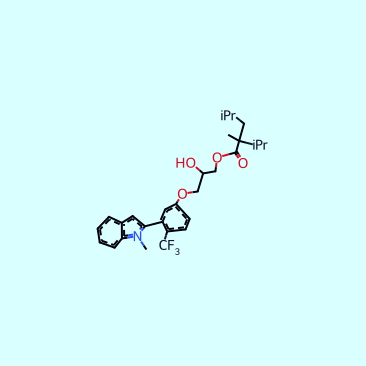 CC(C)CC(C)(C(=O)OCC(O)COc1ccc(C(F)(F)F)c(-c2cc3ccccc3n2C)c1)C(C)C